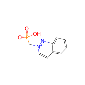 O=P([O-])(O)C[n+]1ccc2ccccc2n1